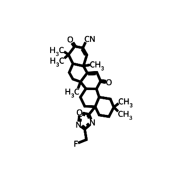 CC1(C)CCC2(c3nc(CF)no3)CCC3C(C(=O)C=C4C5(C)C=C(C#N)C(=O)C(C)(C)C5CCC43C)C2C1